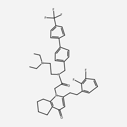 CCN(CC)CCN(Cc1ccc(-c2ccc(C(F)(F)F)cc2)cc1)C(=O)Cn1c(CCc2cccc(F)c2F)cc(=O)c2c1CCCC2